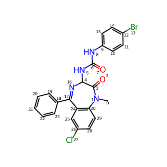 CN1C(=O)C(NC(=O)Nc2ccc(Br)cc2)N=C(c2ccccc2)c2cc(Cl)ccc21